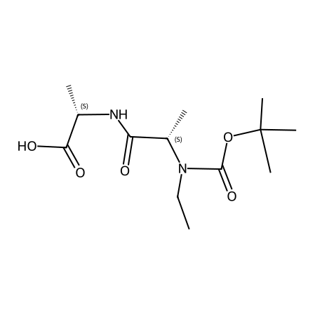 CCN(C(=O)OC(C)(C)C)[C@@H](C)C(=O)N[C@@H](C)C(=O)O